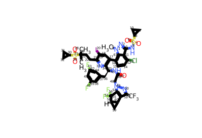 Cn1nc(NS(=O)(=O)C2CC2)c2c(Cl)ccc(-c3cc(I)c(CCC(C)(C)S(=O)(=O)C4CC4)nc3[C@H](Cc3cc(F)cc(F)c3)NC(=O)Cn3nc(C(F)(F)F)c4c3C(F)(F)[C@@H]3CC43)c21